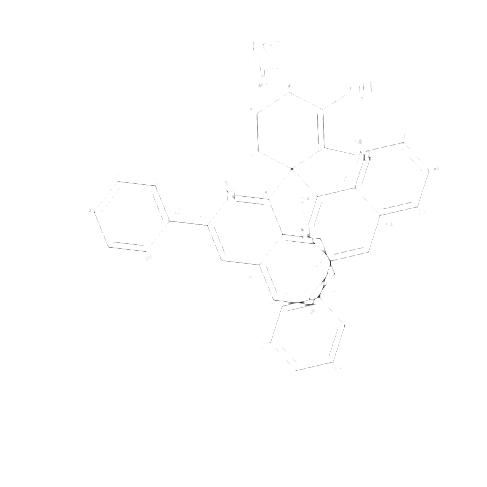 CC(=O)C1=C(O)CCCC1(c1nc(-c2ccccc2)cc2ccccc12)c1nc(-c2ccccc2)cc2ccccc12.[Ir+3].[Pt+2]